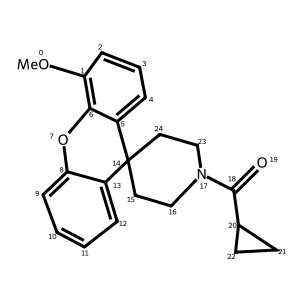 COc1cccc2c1Oc1ccccc1C21CCN(C(=O)C2CC2)CC1